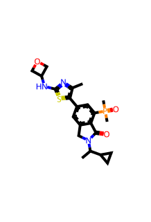 Cc1nc(NC2COC2)sc1-c1cc2c(c(P(C)(C)=O)c1)C(=O)N(C(C)C1CC1)C2